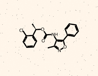 Cc1noc(-c2ccccc2)c1NC(=O)O[C@H](C)c1ccccc1Cl